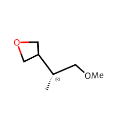 COC[C@H](C)C1COC1